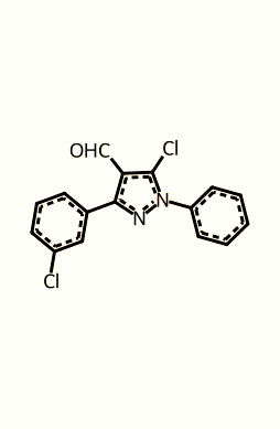 O=Cc1c(-c2cccc(Cl)c2)nn(-c2ccccc2)c1Cl